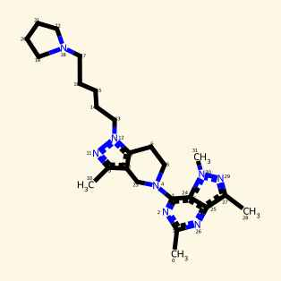 Cc1nc(N2CCc3c(c(C)nn3CCCCCN3CCCC3)C2)c2c(n1)c(C)nn2C